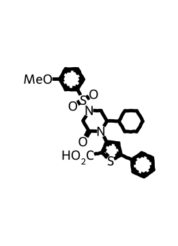 COc1cccc(S(=O)(=O)N2CC(=O)N(c3cc(-c4ccccc4)sc3C(=O)O)C(C3CCCCC3)C2)c1